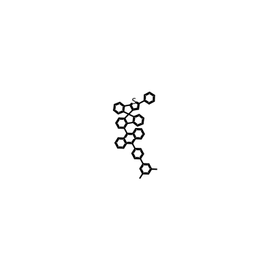 Cc1cc(C)cc(-c2ccc(-c3c4ccccc4c(-c4cccc5c4-c4ccccc4C54c5ccccc5-c5sc(-c6ccccc6)cc54)c4ccccc34)cc2)c1